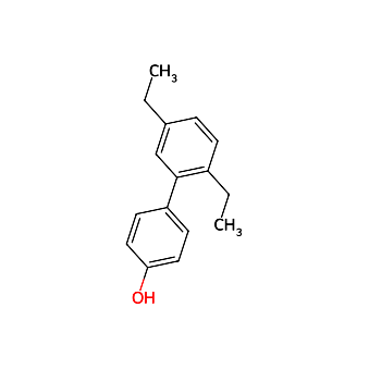 CCc1ccc(CC)c(-c2ccc(O)cc2)c1